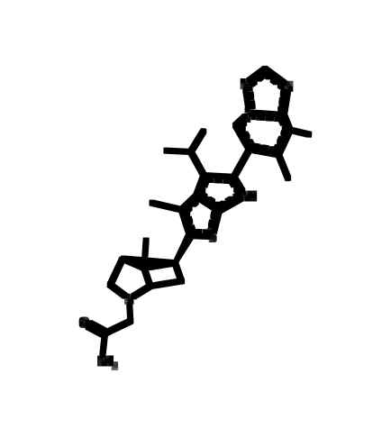 Cc1c(-c2[nH]c3sc([C@]45CC6N(CC(N)=O)CC4C65C)c(C)c3c2C(C)C)cn2ncnc2c1C